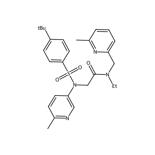 CCN(Cc1cccc(C)n1)C(=O)CN(c1ccc(C)nc1)S(=O)(=O)c1ccc(C(C)(C)C)cc1